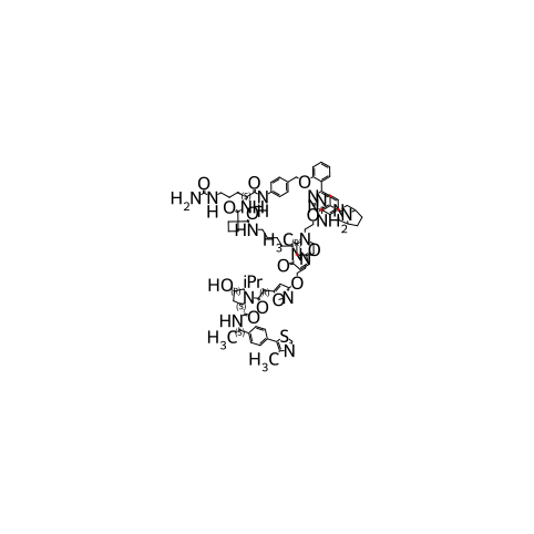 Cc1ncsc1-c1ccc([C@H](C)NC(=O)[C@@H]2C[C@@H](O)CN2C(=O)[C@@H](c2cc(OCCN3CCN(CCOc4cc(N5C6CCC5CN(c5cc(-c7ccccc7OCc7ccc(NC(=O)[C@H](CCCNC(N)=O)NC(=O)C8(C(=O)NCCCCCN9C(=O)C=CC9=O)CCC8)cc7)nnc5N)C6)ccn4)[C@H](C)C3)no2)C(C)C)cc1